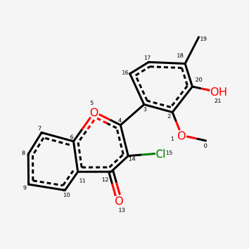 COc1c(-c2oc3ccccc3c(=O)c2Cl)ccc(C)c1O